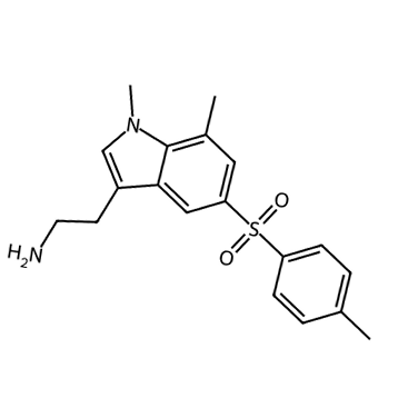 Cc1ccc(S(=O)(=O)c2cc(C)c3c(c2)c(CCN)cn3C)cc1